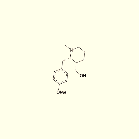 COc1ccc(C[C@H]2[C@@H](CO)CCCN2C)cc1